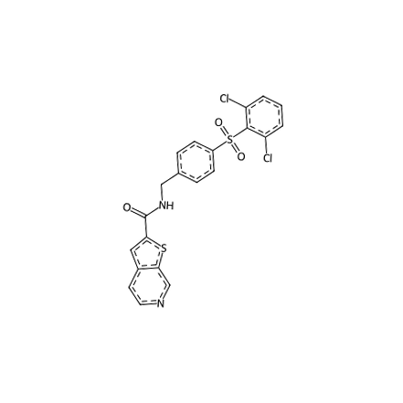 O=C(NCc1ccc(S(=O)(=O)c2c(Cl)cccc2Cl)cc1)c1cc2ccncc2s1